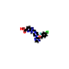 Cn1c(CN2CCN(c3nccnc3OCc3ccc(Cl)cc3F)CC2)nc2ccc(C(=O)O)nc21